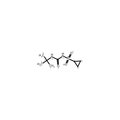 CC(C)(C)NC(=O)NS(=O)(=O)C1CC1